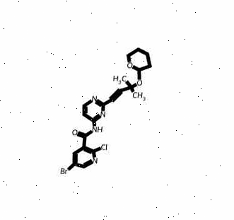 CC(C)(C#Cc1nccc(NC(=O)c2cc(Br)cnc2Cl)n1)OC1CCCCO1